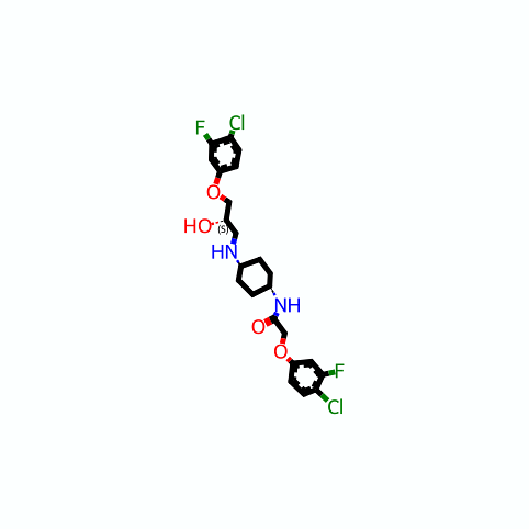 O=C(COc1ccc(Cl)c(F)c1)N[C@H]1CC[C@@H](NC[C@H](O)COc2ccc(Cl)c(F)c2)CC1